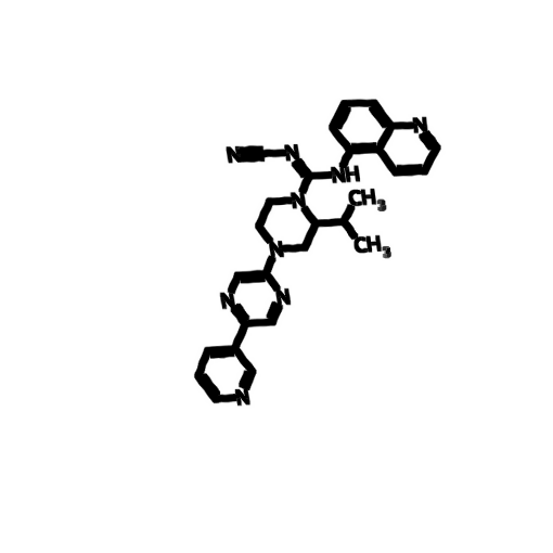 CC(C)C1CN(c2cnc(-c3cccnc3)cn2)CCN1/C(=N\C#N)Nc1cccc2ncccc12